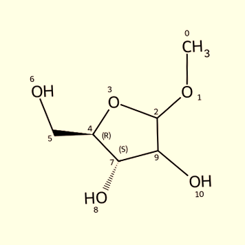 COC1O[C@H](CO)[C@@H](O)C1O